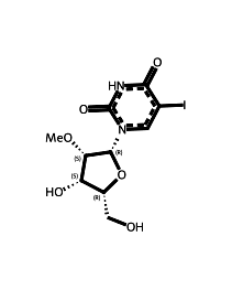 CO[C@H]1[C@@H](O)[C@@H](CO)O[C@H]1n1cc(I)c(=O)[nH]c1=O